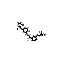 O=C(O)C=Cc1cccc(C(=O)COc2cccc(NC3=NCCN3)c2)c1